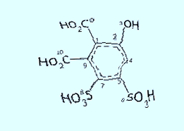 O=C(O)c1c(O)[c]c(S(=O)(=O)O)c(S(=O)(=O)O)c1C(=O)O